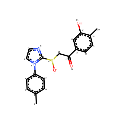 Cc1ccc(-n2ccnc2[S+]([O-])CC(=O)c2ccc(C)c(O)c2)cc1